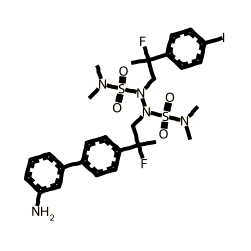 CN(C)S(=O)(=O)N(CC(C)(F)c1ccc(I)cc1)N(CC(C)(F)c1ccc(-c2cccc(N)c2)cc1)S(=O)(=O)N(C)C